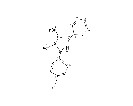 CCCCC1C(C(C)=O)C(c2ccc(F)cc2)=NN1c1ccccc1